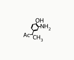 CC(=O)C(C)c1ccc(O)c(N)c1